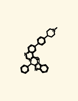 CN1CCC(c2ccc(-c3ccc4ncn(C(c5ccccc5)c5nc6ccccc6[nH]5)c(=O)c4c3)cc2)CC1